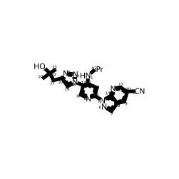 CC(C)Nc1cc(-n2ncc3cc(C#N)cnc32)ncc1-n1cc(CC(C)(C)O)nn1